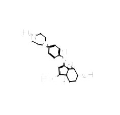 CCN1CCN(c2ccc(NC3=CC(C)[C@@H]4CC[C@@H](C)C[C@@H]34)cc2)CC1